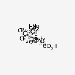 O=C(O)CC1CCN(C2=NC(=O)C(=C(Cc3ccc(Cl)cc3C(F)(F)F)c3ccc4[nH]ncc4c3)S2)C1